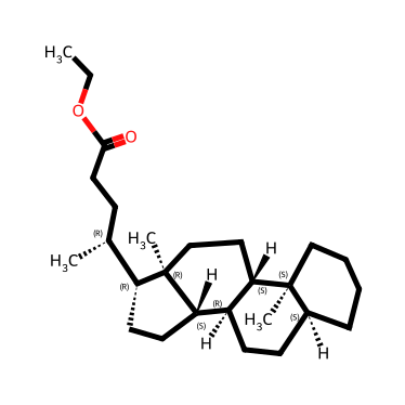 CCOC(=O)CC[C@@H](C)[C@H]1CC[C@H]2[C@@H]3CC[C@@H]4CCCC[C@]4(C)[C@H]3CC[C@]12C